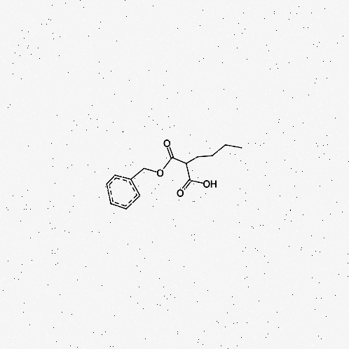 CCCCC(C(=O)O)C(=O)OCc1ccccc1